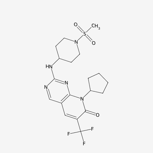 CS(=O)(=O)N1CCC(Nc2ncc3cc(C(F)(F)F)c(=O)n(C4CCCC4)c3n2)CC1